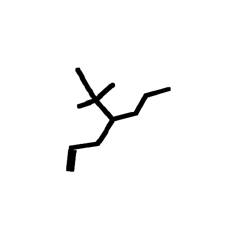 C=CC[C](CCC)C(C)(C)C